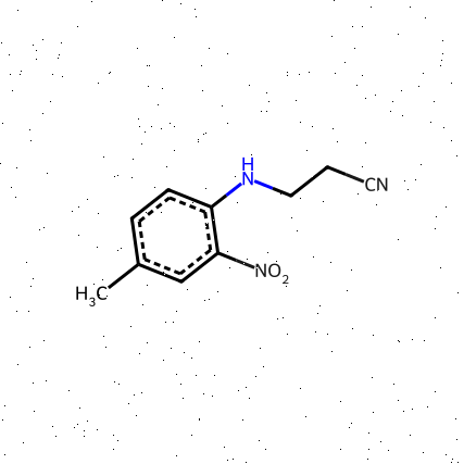 Cc1ccc(NCCC#N)c([N+](=O)[O-])c1